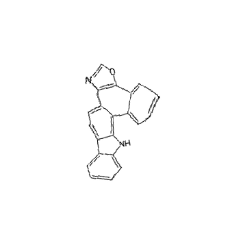 c1ccc2c(c1)[nH]c1c2ccc2c3ncoc3c3ccccc3c21